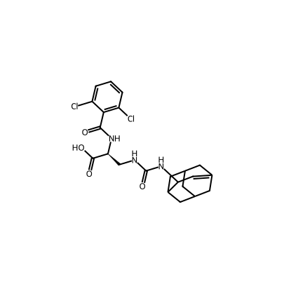 O=C(NC[C@H](NC(=O)c1c(Cl)cccc1Cl)C(=O)O)NC1C=C2CC3CC(C2)CC1C3